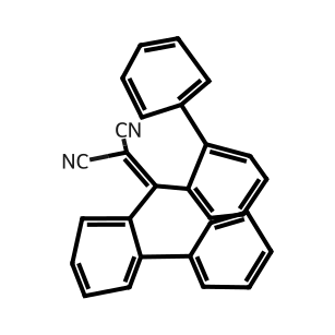 N#CC(C#N)=C(c1ccccc1-c1ccccc1)c1ccccc1-c1ccccc1